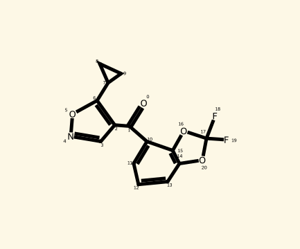 O=C(c1cnoc1C1CC1)c1cccc2c1OC(F)(F)O2